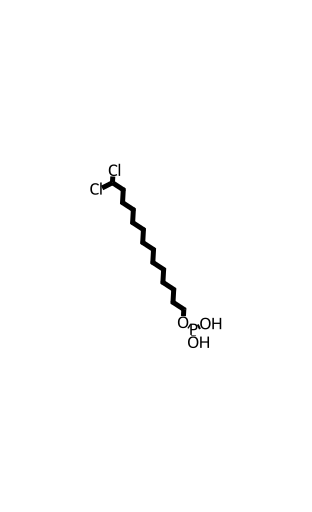 OP(O)OCCCCCCCCCCCCCC(Cl)Cl